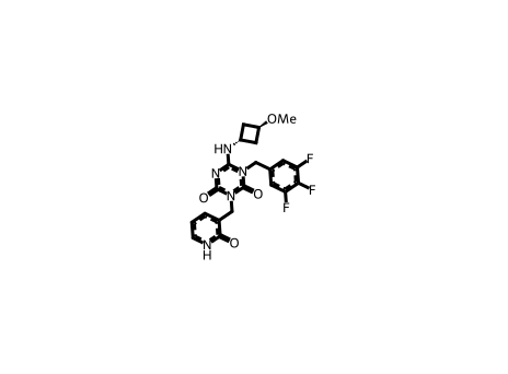 CO[C@H]1C[C@H](Nc2nc(=O)n(Cc3ccc[nH]c3=O)c(=O)n2Cc2cc(F)c(F)c(F)c2)C1